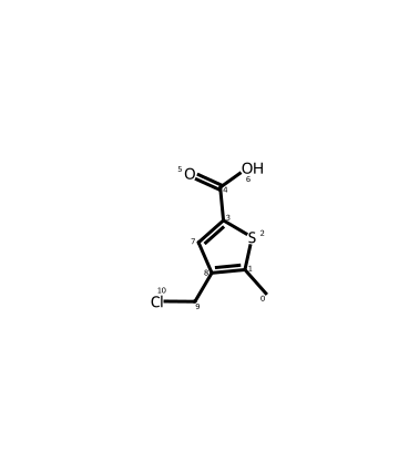 Cc1sc(C(=O)O)cc1CCl